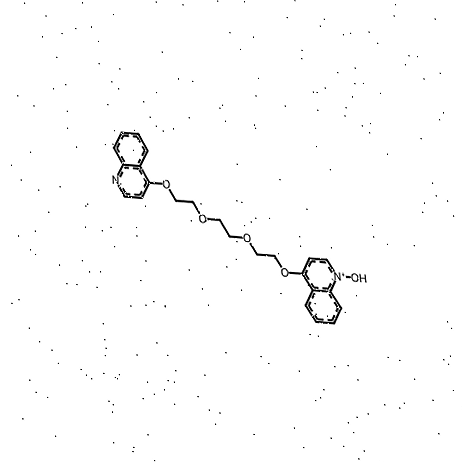 O[n+]1ccc(OCCOCCOCCOc2ccnc3ccccc23)c2ccccc21